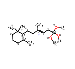 CCO[Si](C/C=C(\C)CCC1=C(C)CCCC1(C)C)(OCC)OCC